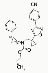 C=CCOC(=O)N(CC1(c2nc(-c3ccc(C#N)cc3)no2)CC1)[C@H]1C[C@@H]1c1ccccc1